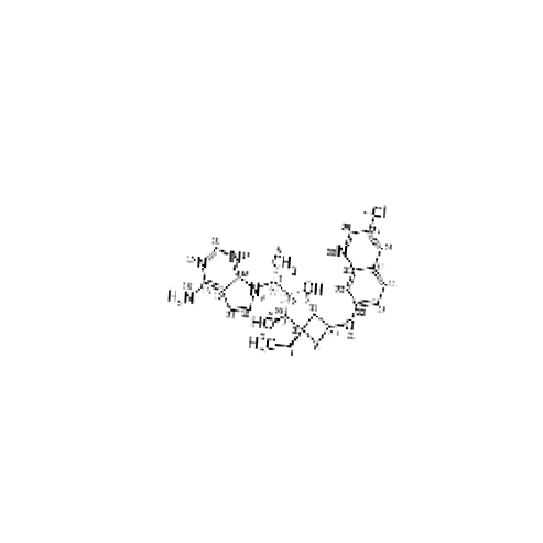 CC[C@]1([C@@H](O)[C@@H](O)[C@@H](C)n2ccc3c(N)ncnc32)C[C@H](Oc2ccc3cc(Cl)cnc3c2)C1